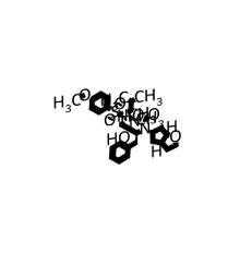 COc1ccc(S(=O)(=O)N(CC(C)C)C[C@@](O)([C@H](Cc2ccccc2)N(C(=O)O)[C@@H]2C[C@@H]3CCO[C@@H]3C2)N(C)C)cc1